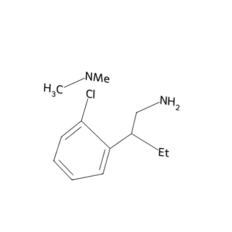 CCC(CN)c1ccccc1Cl.CNC